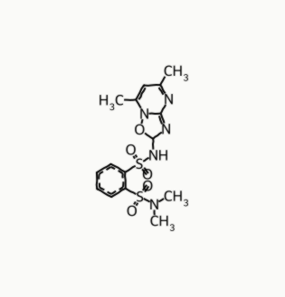 CC1=CC(C)=NC2=NC(NS(=O)(=O)c3ccccc3S(=O)(=O)N(C)C)ON12